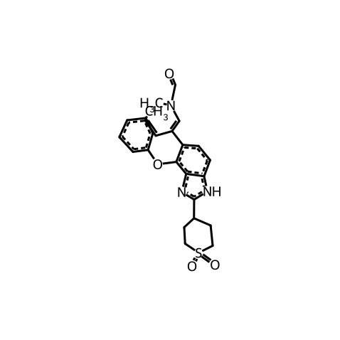 C/C=C\C(=C/N(C)C=O)c1ccc2[nH]c(C3CCS(=O)(=O)CC3)nc2c1Oc1ccccc1